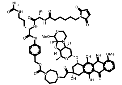 COc1cccc2c1C(=N)c1c(O)c3c(c(O)c1C2=O)C[C@@](O)(C(=O)CN1CCCN(C(=O)OCc2ccc(NC(=O)[C@H](CCCNC(N)=O)NC(=O)[C@@H](NC(=O)CCCCCN4C(=O)C=CC4=O)C(C)C)cc2)CC1)C[C@@H]3O[C@H]1C[C@H]2[C@H](O[C@@H]3[C@@H](OC)OCCN32)[C@H](C)O1